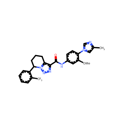 COc1cc(NC(=O)c2nnn3c2CCCC3c2ccccc2C(F)(F)F)ccc1-n1cnc(C)c1